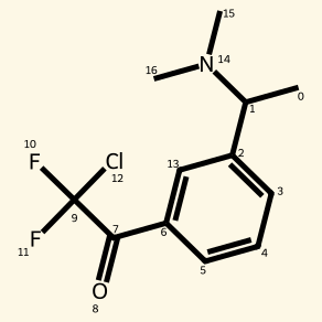 CC(c1cccc(C(=O)C(F)(F)Cl)c1)N(C)C